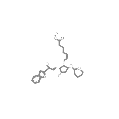 CC(C)OC(=O)CCC/C=C\C[C@@H]1[C@@H](/C=C/C(=O)c2cc3ccccc3s2)[C@@H](F)C[C@@H]1OC1CCCCO1